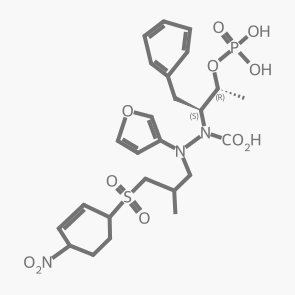 CC(CN(c1ccoc1)N(C(=O)O)[C@@H](Cc1ccccc1)[C@@H](C)OP(=O)(O)O)CS(=O)(=O)C1C=CC([N+](=O)[O-])CC1